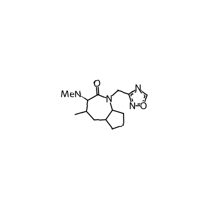 CNC1C(=O)N(Cc2ncon2)C2CCCC2CC1C